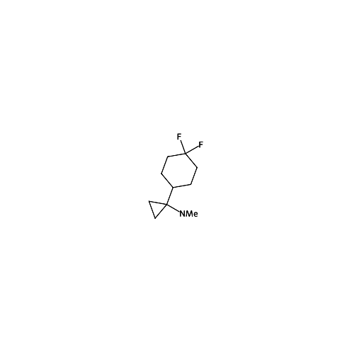 CNC1(C2CCC(F)(F)CC2)CC1